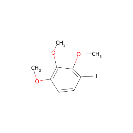 [Li][c]1ccc(OC)c(OC)c1OC